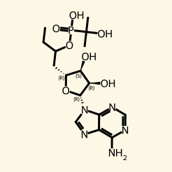 CCC(C[C@H]1O[C@@H](n2cnc3c(N)ncnc32)[C@H](O)[C@@H]1O)OP(=O)(O)C(C)(C)O